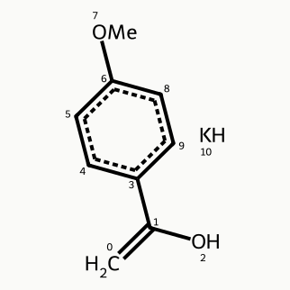 C=C(O)c1ccc(OC)cc1.[KH]